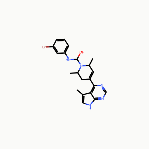 Cc1c[nH]c2ncnc(C3=CC(C)N(C(O)Nc4cccc(Br)c4)C(C)C3)c12